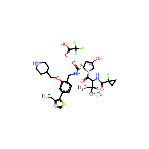 Cc1ncsc1-c1ccc(CNC(=O)[C@@H]2C[C@@H](O)CN2C(=O)C(NC(=O)C2(F)CC2)C(C)(C)C)c(OCC2CCNCC2)c1.O=C(O)C(F)(F)F